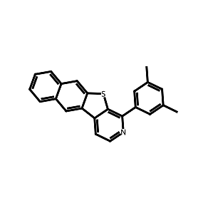 Cc1cc(C)cc(-c2nccc3c2sc2cc4ccccc4cc23)c1